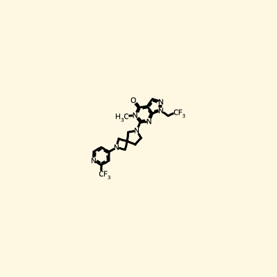 Cn1c(N2CCC3(CN(c4ccnc(C(F)(F)F)c4)C3)C2)nc2c(cnn2CC(F)(F)F)c1=O